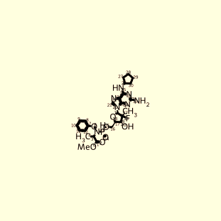 COC(=O)C(C)N(Oc1ccccc1)[PH](=O)OC[C@H]1O[C@@H](n2cnc3c(NC4CCCC4)nc(N)nc32)[C@](C)(F)[C@@H]1O